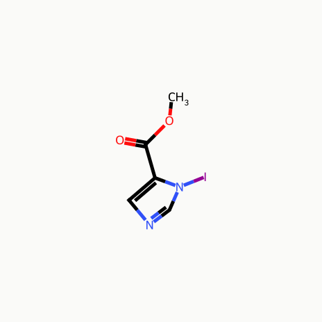 COC(=O)c1cncn1I